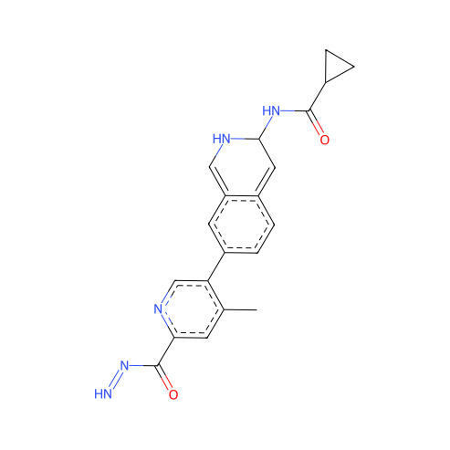 Cc1cc(C(=O)N=N)ncc1-c1ccc2c(c1)=CNC(NC(=O)C1CC1)C=2